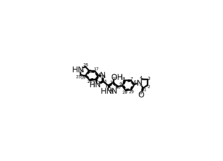 O=C1CCCN1c1ccc(-c2n[nH]c(-c3nc4cc5c(cc4[nH]3)CNC5)c2O)cc1